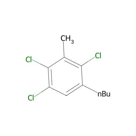 CCCCc1cc(Cl)c(Cl)c(C)c1Cl